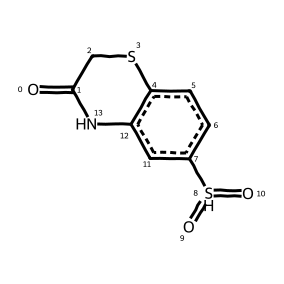 O=C1CSc2ccc([SH](=O)=O)cc2N1